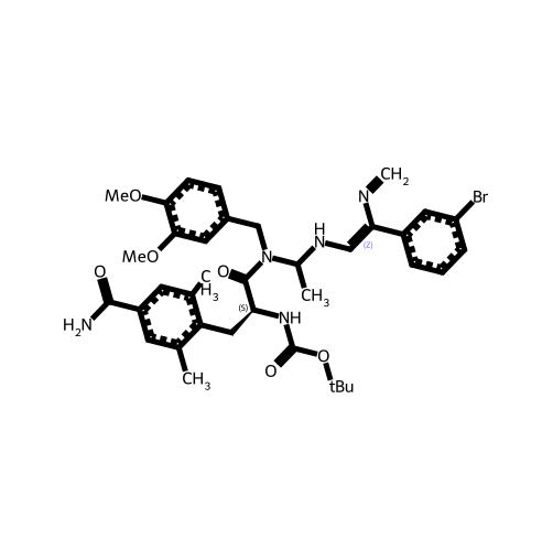 C=N/C(=C\NC(C)N(Cc1ccc(OC)c(OC)c1)C(=O)[C@H](Cc1c(C)cc(C(N)=O)cc1C)NC(=O)OC(C)(C)C)c1cccc(Br)c1